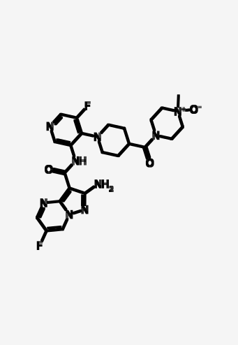 C[N+]1([O-])CCN(C(=O)C2CCN(c3c(F)cncc3NC(=O)c3c(N)nn4cc(F)cnc34)CC2)CC1